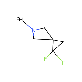 [2H]N1CC2(C1)CC2(F)F